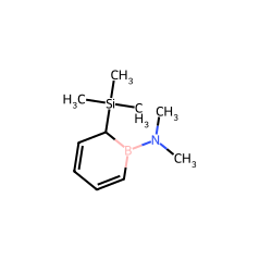 CN(C)B1C=CC=CC1[Si](C)(C)C